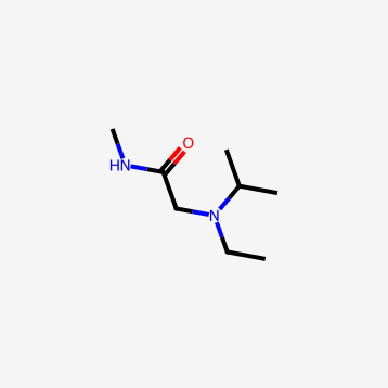 CCN(CC(=O)NC)C(C)C